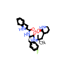 C[C@](C#N)(CC1CCCNC1=O)NC(=O)[C@H](Cc1ccc(F)cc1)NC(=O)c1cc2ccccc2[nH]1